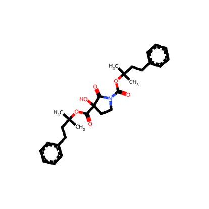 CC(C)(CCc1ccccc1)OC(=O)N1CCC(O)(C(=O)OC(C)(C)CCc2ccccc2)C1=O